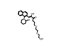 CCC1CCCCN1c1c(/C=C(\C#N)C(=O)CCCOCCOCCO)ccc2ccccc12